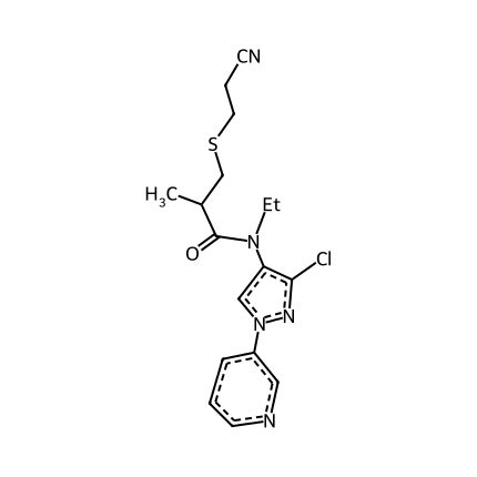 CCN(C(=O)C(C)CSCCC#N)c1cn(-c2cccnc2)nc1Cl